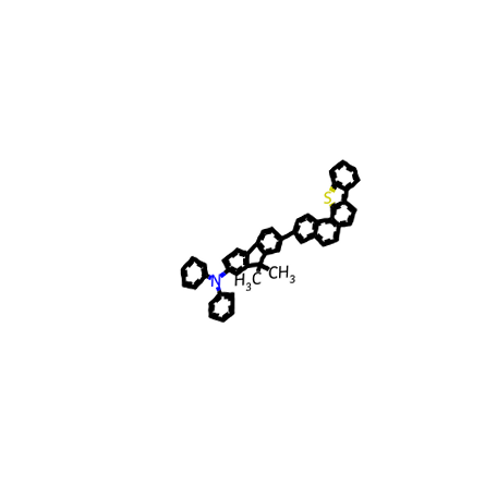 CC1(C)c2cc(-c3ccc4c(ccc5ccc6c7ccccc7sc6c54)c3)ccc2-c2ccc(N(c3ccccc3)c3ccccc3)cc21